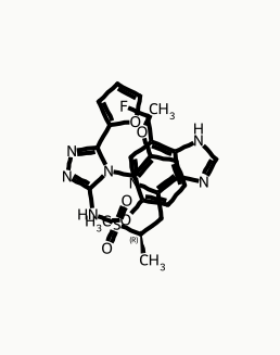 COc1cccc(OC)c1-n1c(NS(=O)(=O)[C@H](C)Cc2ncc(CF)c3[nH]cnc23)nnc1-c1ccco1